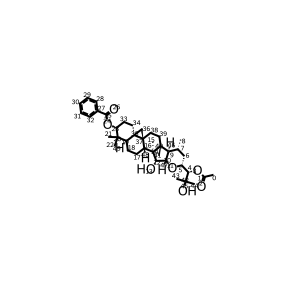 CC(=O)O[C@@H]([C@H]1C[C@@H](C)[C@H]2[C@H](O1)[C@H](O)[C@@]1(C)[C@@H]3CC[C@H]4C(C)(C)[C@@H](OC(=O)c5ccccc5)CC[C@@]45C[C@@]35CC[C@]21C)C(C)(C)O